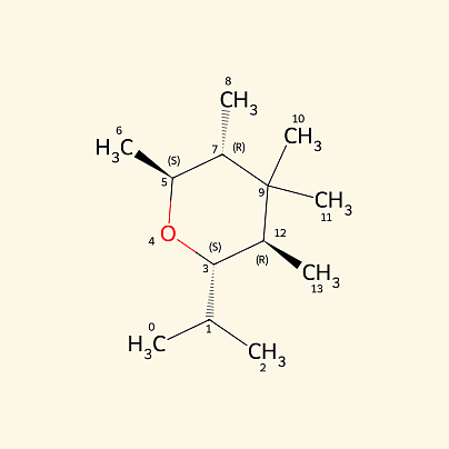 CC(C)[C@@H]1O[C@@H](C)[C@H](C)C(C)(C)[C@H]1C